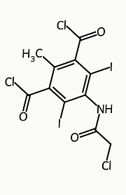 Cc1c(C(=O)Cl)c(I)c(NC(=O)CCl)c(I)c1C(=O)Cl